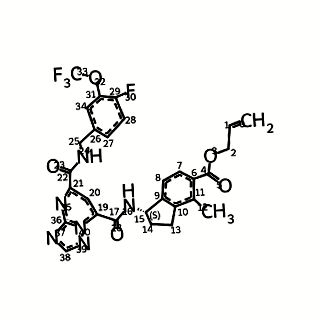 C=CCOC(=O)c1ccc2c(c1C)CC[C@@H]2NC(=O)c1cc(C(=O)NCc2ccc(F)c(OC(F)(F)F)c2)nc2ncnn12